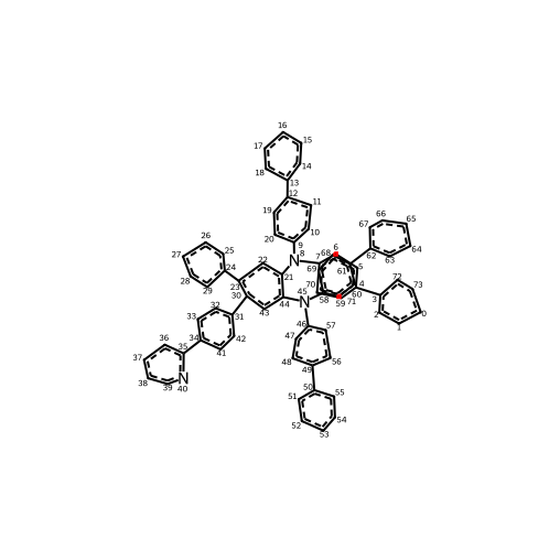 c1ccc(-c2ccc(N(c3ccc(-c4ccccc4)cc3)c3cc(-c4ccccc4)c(-c4ccc(-c5ccccn5)cc4)cc3N(c3ccc(-c4ccccc4)cc3)c3ccc(-c4ccccc4)cc3)cc2)cc1